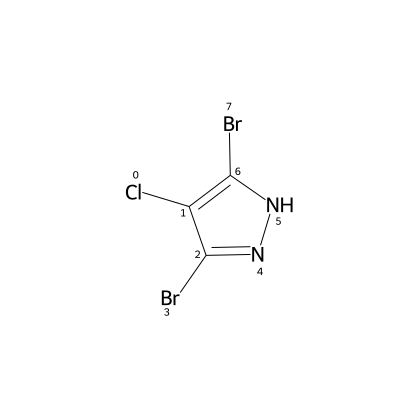 Clc1c(Br)n[nH]c1Br